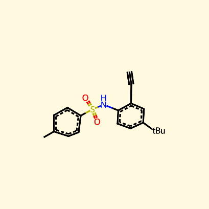 C#Cc1cc(C(C)(C)C)ccc1NS(=O)(=O)c1ccc(C)cc1